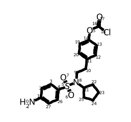 Nc1ccc(S(=O)(=O)N(CCc2ccc(OC(=O)Cl)cc2)C2CCCC2)cc1